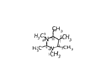 CC1C(C)N(C)C(C)N(C)C1C